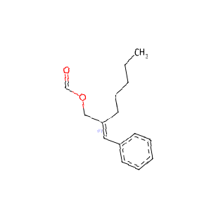 CCCCC/C(=C\c1ccccc1)COC=O